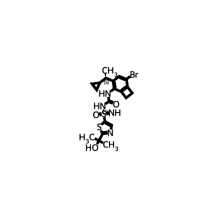 C[C@H](c1cc(Br)c2c(c1NC(=O)N[S@@](=N)(=O)c1cnc(C(C)(C)O)s1)CC2)C1CC1